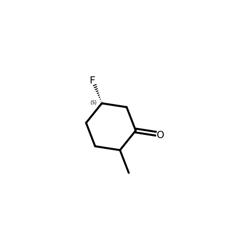 CC1CC[C@H](F)CC1=O